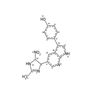 CC1=NC(c2cnc3[nH]cc(-c4ccc(O)cc4)c3c2)C([N+](=O)[O-])N1